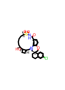 C[C@@H]1CCCC[C@@](C)(O)[C@@H]2CC[C@H]2CN2C[C@@]3(CCCc4cc(Cl)ccc43)COc3ccc(cc32)C(=O)NS1(=O)=O